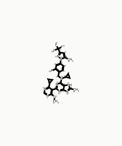 COc1ncnc(C2CC2)c1-c1nc(N(Cc2ccc(-n3nc(C(F)(F)F)cc3C)cc2F)C2CC2)c2[nH]c(C)nc2n1